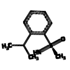 CC(C)c1ccccc1[S@@](C)(=N)=O